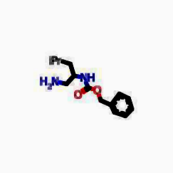 CC(C)CC(CN)NC(=O)OCc1ccccc1